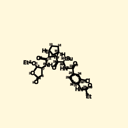 CCO[C@@H]1OC(=O)CC1NC(=O)[C@@H]1[C@H]2CC[C@H](C2)N1C(=O)[C@@H](NC(=O)c1ccc(NC(=O)CC)c(Cl)c1)C(C)(C)C